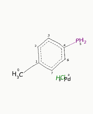 Cc1ccc(P)cc1.Cl.[Pd]